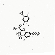 CC(C)[C@@H](OCc1ccc(F)c(C2CC2)c1)C(=O)N[C@@H](C)c1ccc(C(=O)O)cc1